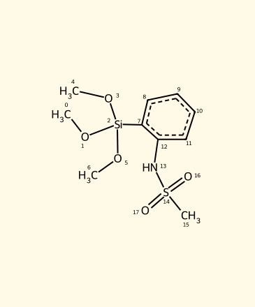 CO[Si](OC)(OC)c1ccccc1NS(C)(=O)=O